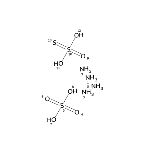 N.N.N.N.O=S(=O)(O)O.O=S(O)(O)=S